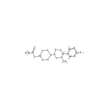 CC1CC(C2CCN(CC(N)=O)CC2)CCN1c1ncc(F)cn1